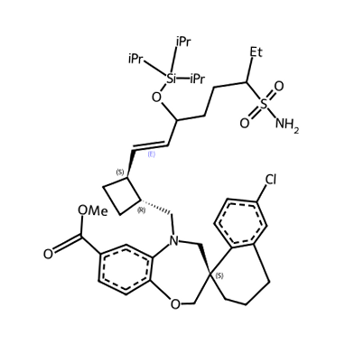 CCC(CCC(/C=C/[C@@H]1CC[C@H]1CN1C[C@@]2(CCCc3cc(Cl)ccc32)COc2ccc(C(=O)OC)cc21)O[Si](C(C)C)(C(C)C)C(C)C)S(N)(=O)=O